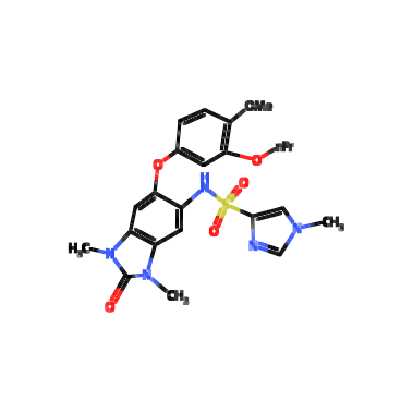 CCCOc1cc(Oc2cc3c(cc2NS(=O)(=O)c2cn(C)cn2)n(C)c(=O)n3C)ccc1OC